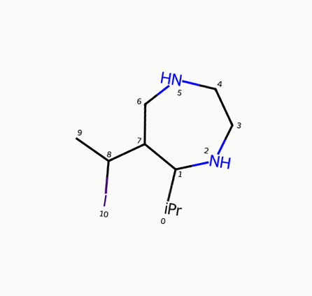 CC(C)C1NCCNCC1C(C)I